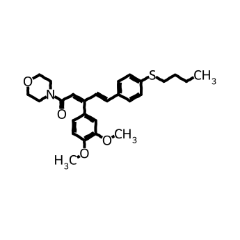 CCCCSc1ccc(/C=C/C(=C/C(=O)N2CCOCC2)c2ccc(OC)c(OC)c2)cc1